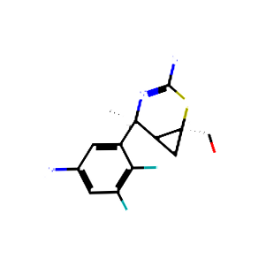 C[C@]1(c2cc(N)cc(F)c2F)N=C(N)S[C@@]2(CO)CC21